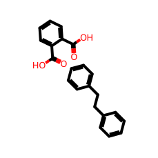 O=C(O)c1ccccc1C(=O)O.c1ccc(CCc2ccccc2)cc1